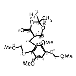 COCOc1cc(OC)c(OCOC)c(CC2C(=O)OC(C)(C)OC2=O)c1OC